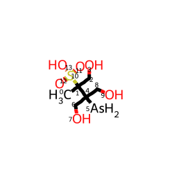 CC(CO)(C([AsH2])(CO)CO)S(=O)(=O)O